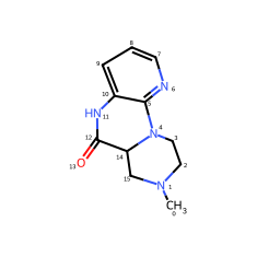 CN1CCN2c3ncccc3NC(=O)C2C1